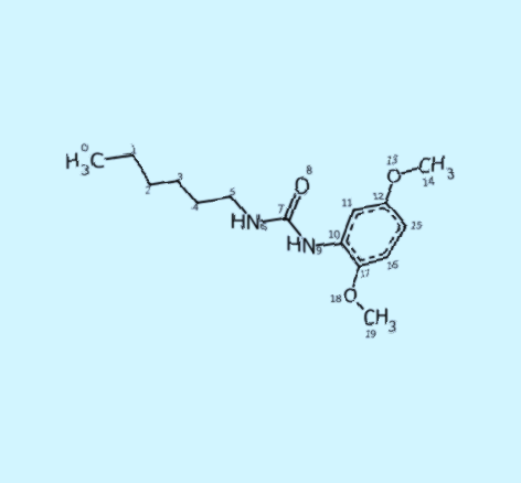 CCCCCCNC(=O)Nc1cc(OC)ccc1OC